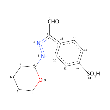 O=Cc1nn(C2CCCCO2)c2cc(S(=O)(=O)O)ccc12